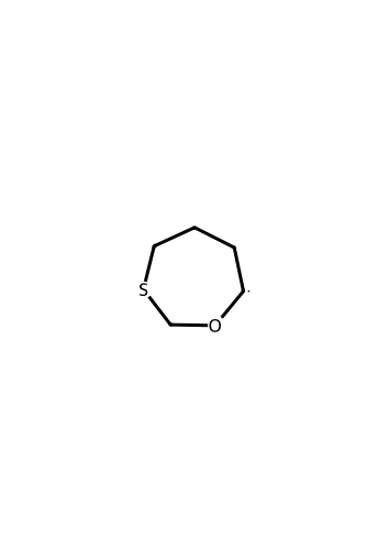 [CH]1CCCSCO1